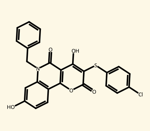 O=c1oc2c(c(O)c1Sc1ccc(Cl)cc1)c(=O)n(Cc1ccccc1)c1cc(O)ccc21